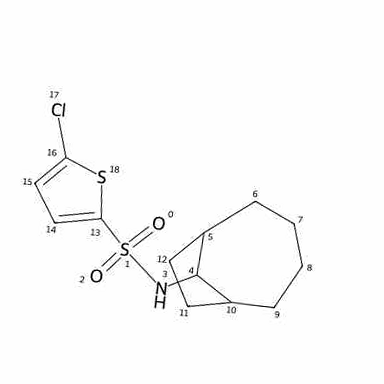 O=S(=O)(NC1C2CCCCC1CC2)c1ccc(Cl)s1